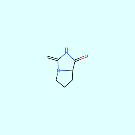 C=C1NC(=O)C2CCCN12